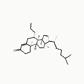 CCC[C@H]1CC2=CC(=O)CC[C@]2(C)[C@H]2CC[C@]3(C)[C@@H]([C@H](C)CCCC(C)C)CC[C@H]3[C@H]12